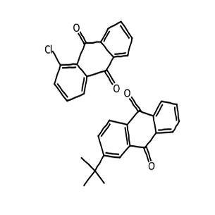 CC(C)(C)c1ccc2c(c1)C(=O)c1ccccc1C2=O.O=C1c2ccccc2C(=O)c2c(Cl)cccc21